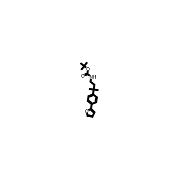 CC(C)(C)OC(=O)NCCC(C)(C)c1ccc(-c2ccco2)cc1